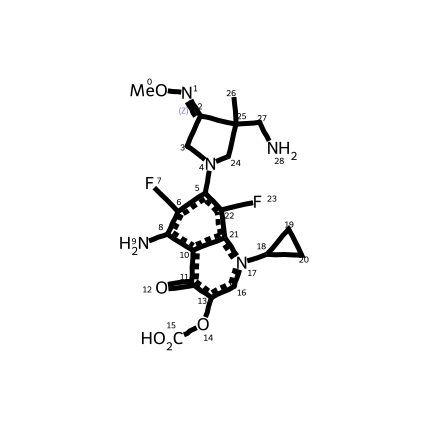 CO/N=C1\CN(c2c(F)c(N)c3c(=O)c(OC(=O)O)cn(C4CC4)c3c2F)CC1(C)CN